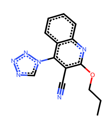 CCCOc1nc2ccccc2c(-n2cnnn2)c1C#N